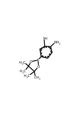 CC1(C)OB(c2ccc(N)c(S)c2)OC1(C)C